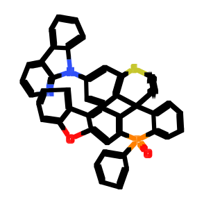 O=P1(c2ccccc2)c2ccccc2C2(c3ccccc3Sc3cc(-n4c5ccccc5c5cccnc54)ccc32)c2cc3c(cc21)oc1ccccc13